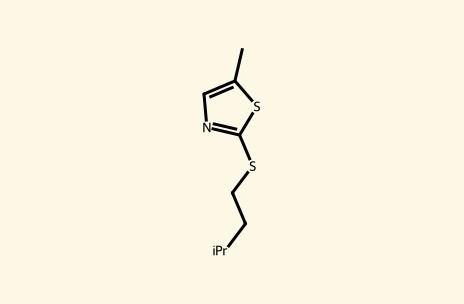 Cc1cnc(SCCC(C)C)s1